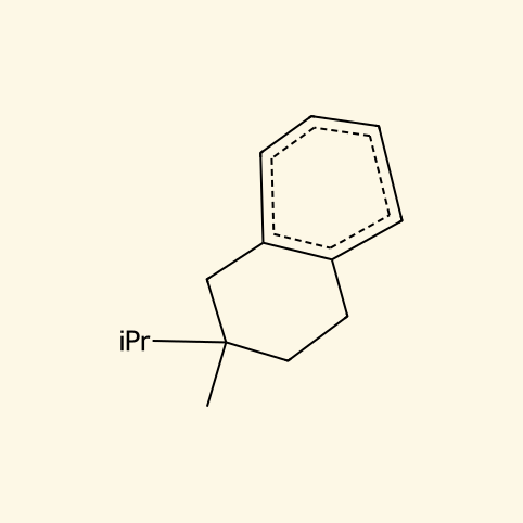 CC(C)C1(C)CCc2ccccc2C1